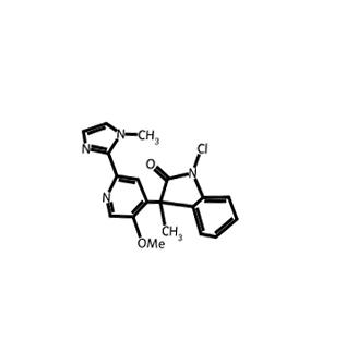 COc1cnc(-c2nccn2C)cc1C1(C)C(=O)N(Cl)c2ccccc21